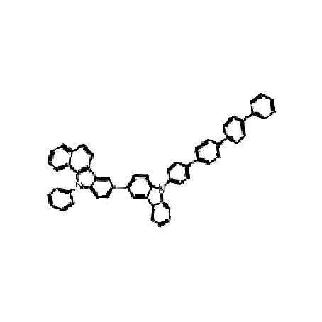 c1ccc(-c2ccc(-c3ccc(-c4ccc(-n5c6ccccc6c6cc(-c7ccc8c(c7)c7ccc9ccccc9c7n8-c7ccccc7)ccc65)cc4)cc3)cc2)cc1